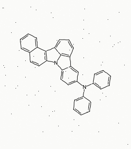 c1ccc(N(c2ccccc2)c2ccc3c(c2)c2cccc4c5c6ccccc6ccc5n3c24)cc1